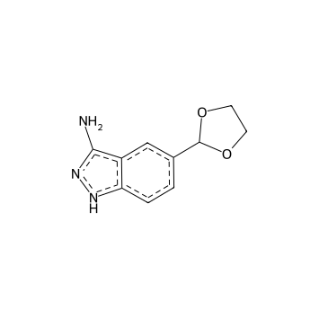 Nc1n[nH]c2ccc(C3OCCO3)cc12